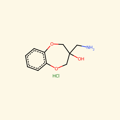 Cl.NCC1(O)COc2ccccc2OC1